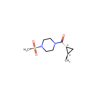 C[C@@H]1C[C@H]1C(=O)N1CCN(S(C)(=O)=O)CC1